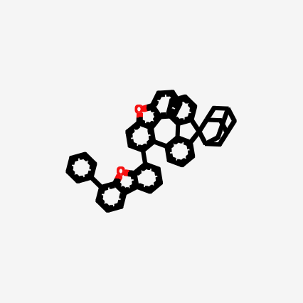 c1ccc(-c2cccc3c2oc2c(-c4ccc5oc6ccccc6c5c4-c4cccc5c4-c4ccccc4C54C5CC6CC(C5)CC4C6)cccc23)cc1